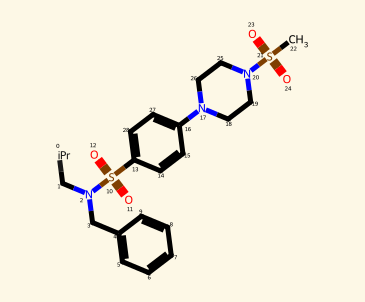 CC(C)CN(Cc1ccccc1)S(=O)(=O)c1ccc(N2CCN(S(C)(=O)=O)CC2)cc1